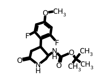 COc1cc(F)c(C2CC(=O)NCC2NC(=O)OC(C)(C)C)c(F)c1